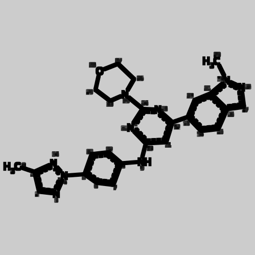 Cc1cnn(-c2ccc(Nc3cc(-c4ccc5cnn(C)c5c4)nc(N4CCOCC4)n3)cc2)n1